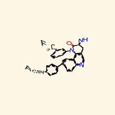 CC(=O)Nc1ccc(-c2ccc3ncc4c(c3c2)N(c2cccc(C(F)(F)F)c2)C(=O)C(=N)C4)cc1